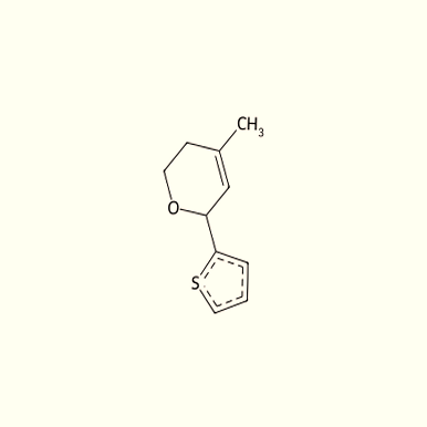 CC1=CC(c2cccs2)OCC1